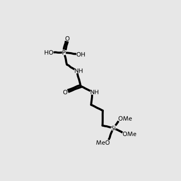 CO[Si](CCCNC(=O)NCP(=O)(O)O)(OC)OC